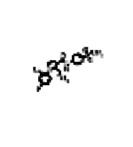 CCc1c(C(=O)Nc2ccc(S(C)(=O)=O)cc2)ccn1-c1ccc(F)cc1Cl